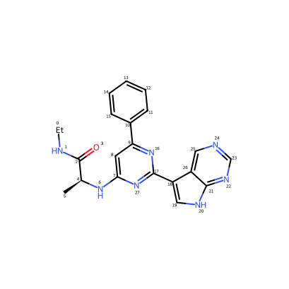 CCNC(=O)[C@H](C)Nc1cc(-c2ccccc2)nc(-c2c[nH]c3ncncc23)n1